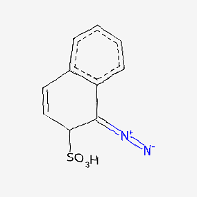 [N-]=[N+]=C1c2ccccc2C=CC1S(=O)(=O)O